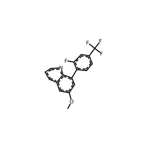 COc1cc(-c2ccc(C(F)(F)F)cc2F)c2ncccc2c1